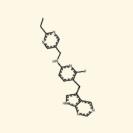 CCc1ncc(CNc2ccc(Cc3c[nH]c4ncncc34)c(F)n2)cn1